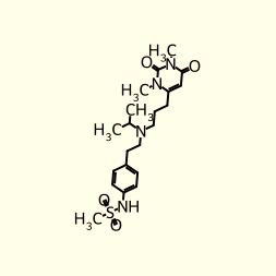 CC(C)N(CCCc1cc(=O)n(C)c(=O)n1C)CCc1ccc(NS(C)(=O)=O)cc1